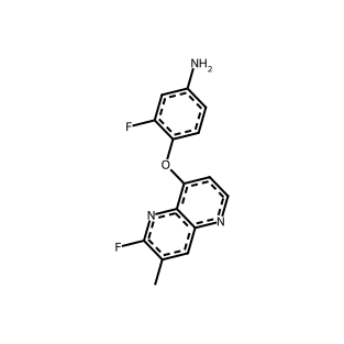 Cc1cc2nccc(Oc3ccc(N)cc3F)c2nc1F